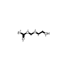 CCC(=O)OCOCCO